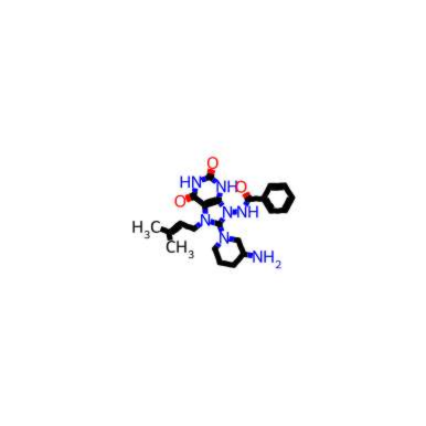 CC(C)=CCN1c2c([nH]c(=O)[nH]c2=O)N(NC(=O)c2ccccc2)C1N1CCCC(N)C1